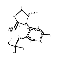 Cc1ccc(OC(C)(C)C)c(N2C(=N)SCC2=O)c1